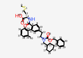 CSCC[C@H](NC(=O)c1ccc(CCN(CC2CCCCC2)C(=O)OCc2ccccc2)cc1-c1ccccc1C)C(=O)O